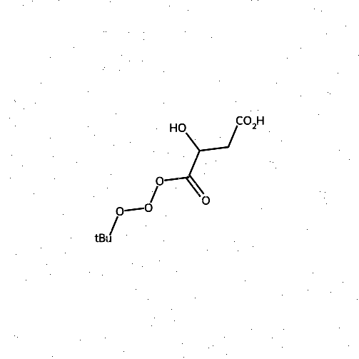 CC(C)(C)OOOC(=O)C(O)CC(=O)O